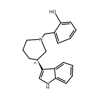 Oc1ccccc1CN1CCC[C@H](c2c[nH]c3ccccc23)C1